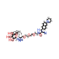 CO[C@]1(C)O[C@H](Cn2cc(COCCOCCOCCNC(=O)/C(C#N)=C/c3ccc4cc(N5CCCCC5)ccc4c3)nn2)[C@@H](O)[C@H](O)[C@H]1O